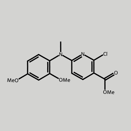 COC(=O)c1ccc(N(C)c2ccc(OC)cc2OC)nc1Cl